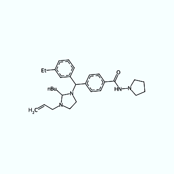 C=CCN1CCN(C(c2ccc(C(=O)NN3CCCC3)cc2)c2cccc(CC)c2)C1CCCC